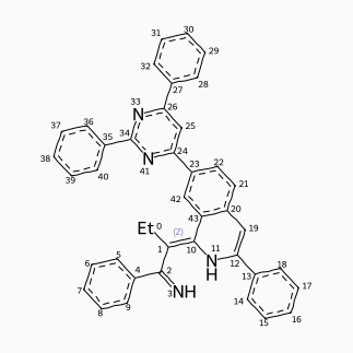 CC/C(C(=N)c1ccccc1)=C1/NC(c2ccccc2)=Cc2ccc(-c3cc(-c4ccccc4)nc(-c4ccccc4)n3)cc21